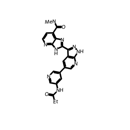 CCC(=O)Nc1cncc(-c2cnc3[nH]nc(-c4nc5c(C(=O)NC)ccnc5[nH]4)c3c2)c1